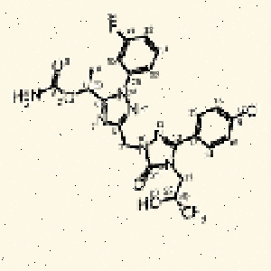 C[C@H](OC(N)=O)c1nc(Cn2nc(-c3ccc(Cl)cc3)n(C[C@H](O)C(F)(F)F)c2=O)nn1-c1cccc(F)c1